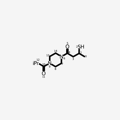 CC(S)CC(=O)N1CCN(C(=O)C(C)C)CC1